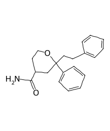 NC(=O)C1CCOC(CCc2ccccc2)(c2ccccc2)C1